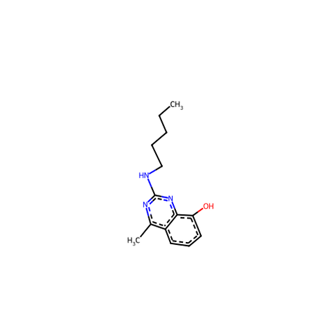 CCCCCNc1nc(C)c2cccc(O)c2n1